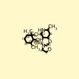 CC1CC(OP2OCCN2C(C)(C)C)CCN1.CC1CCCC(C)(C)C1O